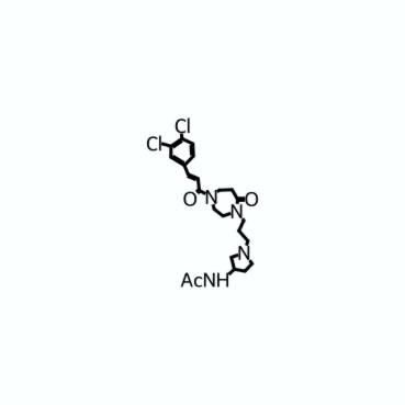 CC(=O)NC1CCN(CCCN2CCN(C(=O)C=Cc3ccc(Cl)c(Cl)c3)CCC2=O)C1